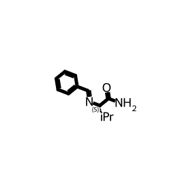 CC(C)[C@H](N=Cc1ccccc1)C(N)=O